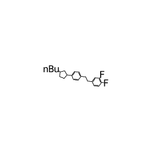 CCCCC1CCC(c2ccc(CCc3ccc(F)c(F)c3)cc2)C1